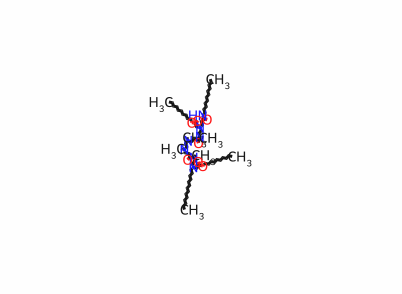 CCCCCCCCCCCCCCN(CCN(C)C(=O)CCN(C)CCN(C)CCC(=O)N(C)CCN(CCC(=O)NCCCCCCCCCCCC)CC(=O)OCCCCCCCCCC)CC(=O)OCCCCCCCCCC